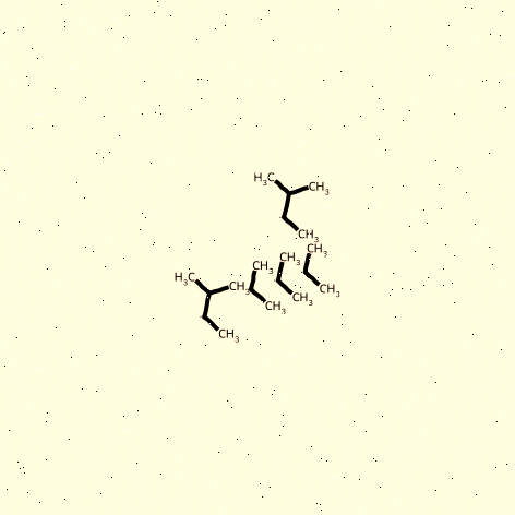 C[CH]C.C[CH]C.C[CH]C.C[CH]C(C)C.C[CH]C(C)C